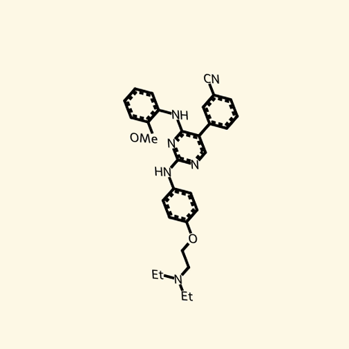 CCN(CC)CCOc1ccc(Nc2ncc(-c3cccc(C#N)c3)c(Nc3ccccc3OC)n2)cc1